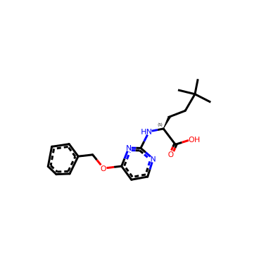 CC(C)(C)CC[C@H](Nc1nccc(OCc2ccccc2)n1)C(=O)O